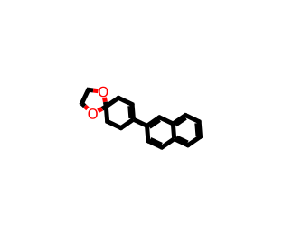 C1=C(c2ccc3ccccc3c2)CCC2(C1)OCCO2